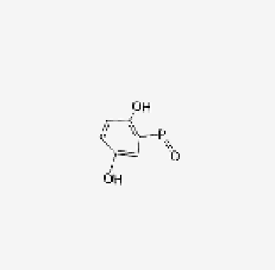 O=Pc1cc(O)ccc1O